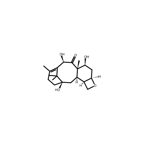 CC1=C2[C@@H](O)C(=O)[C@@]3(C)[C@H](C[C@](O)(CC1)C2(C)C)[C@@H]1CO[C@@H]1C[C@@H]3O